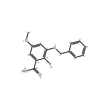 COc1cc(OCc2ccccc2)c(F)c(C(=O)O)c1